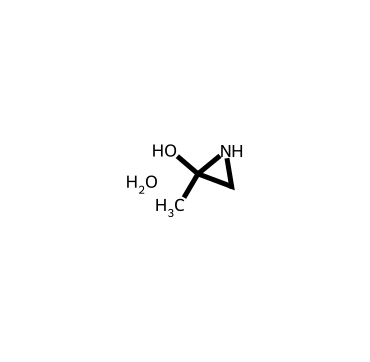 CC1(O)CN1.O